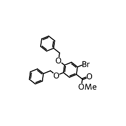 COC(=O)c1cc(OCc2ccccc2)c(OCc2ccccc2)cc1Br